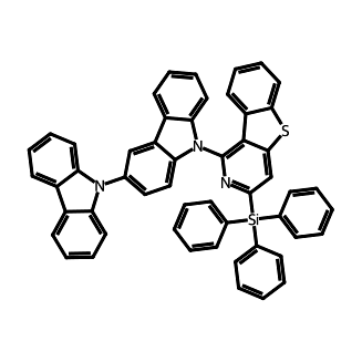 c1ccc([Si](c2ccccc2)(c2ccccc2)c2cc3sc4ccccc4c3c(-n3c4ccccc4c4cc(-n5c6ccccc6c6ccccc65)ccc43)n2)cc1